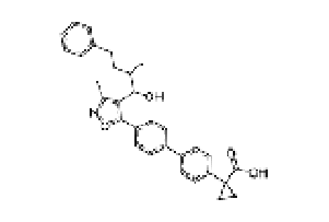 Cc1noc(-c2ccc(-c3ccc(C4(C(=O)O)CC4)cc3)cc2)c1C(O)C(C)CCc1ccccc1